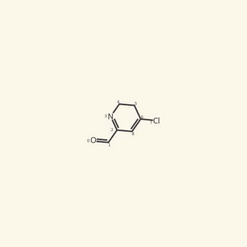 O=CC1=NCCC(Cl)=C1